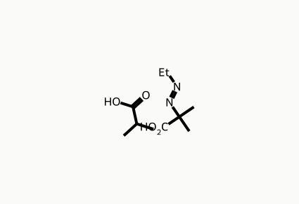 CC(C)C(=O)O.CCN=NC(C)(C)C(=O)O